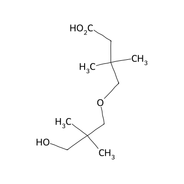 CC(C)(CO)COCC(C)(C)CC(=O)O